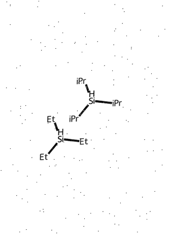 CC(C)[SiH](C(C)C)C(C)C.CC[SiH](CC)CC